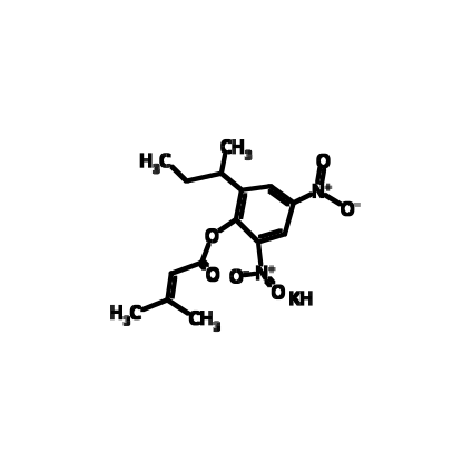 CCC(C)c1cc([N+](=O)[O-])cc([N+](=O)[O-])c1OC(=O)C=C(C)C.[KH]